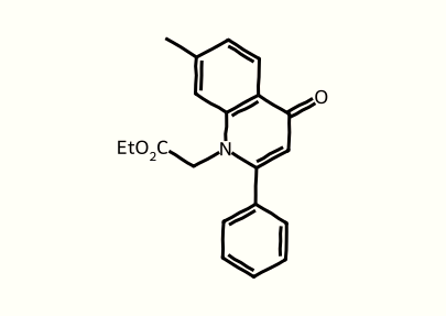 CCOC(=O)Cn1c(-c2ccccc2)cc(=O)c2ccc(C)cc21